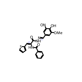 COc1cc(/C=N/NC(=O)/C(=C/c2cccs2)NC(=O)c2ccccc2)cc(N=O)c1O